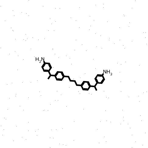 CC(c1ccc(N)cc1)c1ccc(CCCCc2ccc(C(C)c3ccc(N)cc3)cc2)cc1